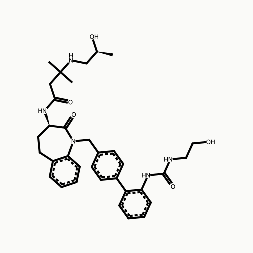 C[C@H](O)CNC(C)(C)CC(=O)N[C@@H]1CCc2ccccc2N(Cc2ccc(-c3ccccc3NC(=O)NCCO)cc2)C1=O